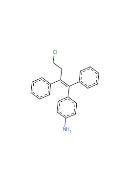 Nc1ccc(C(=C(CCCl)c2ccccc2)c2ccccc2)cc1